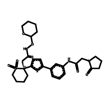 O=C(C[C@]1(c2ccc(-c3cccc(NC(=O)CN4CCCC4=O)c3)s2)CCCCS1(=O)=O)NOC1CCCCO1